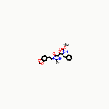 CC(C)C1N[C@@H]([C@@H](O)[C@H](Cc2ccccc2)NC(=O)OC(C)(C)C)C(=O)N1CCc1ccc2c(c1)OCO2